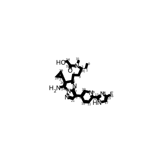 CC[C@H](CCc1nc2c(-c3ccc(-c4nc(F)c[nH]4)nc3)cnn2c(N)c1C1CC1)N(C)C(=O)CO